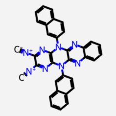 [C-]#[N+]c1nc2c(nc1[N+]#[C-])N(c1ccc3ccccc3c1)c1nc3ccccc3nc1N2c1ccc2ccccc2c1